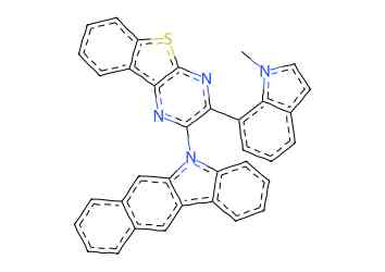 Cn1ccc2cccc(-c3nc4sc5ccccc5c4nc3-n3c4ccccc4c4cc5ccccc5cc43)c21